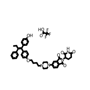 CCC(=C(c1ccc(O)cc1)c1ccc(OCCCCN2CCN(c3ccc4c(c3)C(=O)N(C3CCC(=O)NC3=O)C4=O)CC2)cc1)c1ccccc1.O=C(O)C(F)(F)F